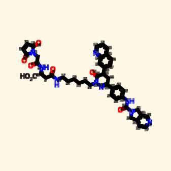 O=C(C[C@@H](NC(=O)CN1C(=O)C=CC1=O)C(=O)O)NCCCCCCN1N=C(c2ccc(NC(=O)N3Cc4ccncc4C3)cc2)CC(c2ccc3cccnc3c2)C1=O